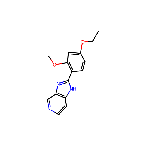 CCOc1ccc(-c2nc3cnccc3[nH]2)c(OC)c1